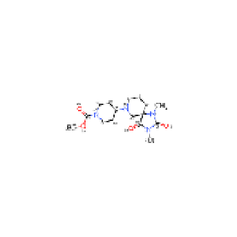 CCN1C(=O)N(C)C2(CCCN(C3CCN(C(=O)OC(C)(C)C)CC3)C2)C1=O